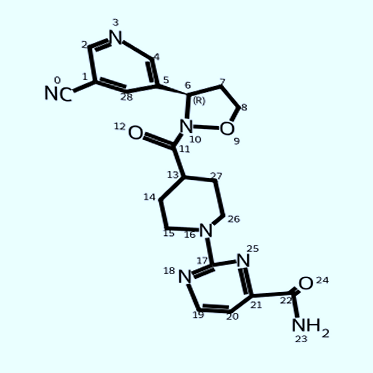 N#Cc1cncc([C@H]2CCON2C(=O)C2CCN(c3nccc(C(N)=O)n3)CC2)c1